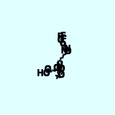 CC(C)(C)C1CC(CCCCC(=O)O)(S(=O)(=O)N2CCC(CCCCc3nc(-c4ccc(OC(F)(F)F)cc4)no3)CC2)CCO1